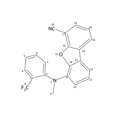 CN(c1ccccc1C(F)(F)F)c1cccc2c1oc1c(C#N)cccc12